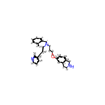 Cc1ccccc1CN(CCCOc1ccc2c(c1)CCNC2)CCc1cccnc1